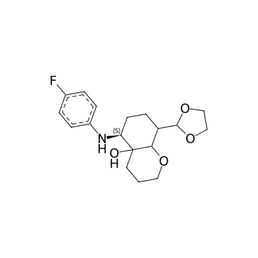 OC12CCCOC1C(C1OCCO1)CC[C@@H]2Nc1ccc(F)cc1